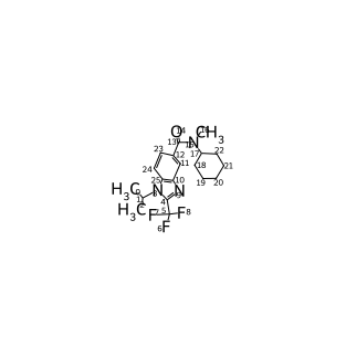 CC(C)n1c(C(F)(F)F)nc2cc(C(=O)N(C)C3CCCCC3)ccc21